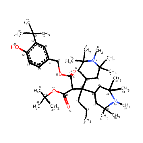 CCCC(C1CC(C)(C)N(C)C(C)(C)C1)(C1CC(C)(C)N(C)C(C)(C)C1)C(C(=O)OCc1ccc(O)c(C(C)(C)C)c1)C(=O)OC(C)(C)C